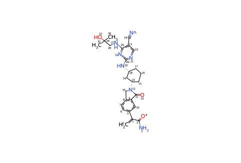 C=C(C(N)=O)c1ccc2c(c1)C(=O)N([C@H]1CCC[C@@H](Nc3ncc(C#N)c(NCC(C)(C)O)n3)C1)C2